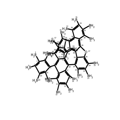 Bc1c(B)c(B)c(-c2c3c(B)c(B)c(B)c(B)c3c(-c3c(B)c(B)c(B)c4oc5c6c(B)c(B)c(B)c(B)c6c6c(B)c(B)c(B)c(B)c6c5c34)c3c(B)c(B)c(B)c(B)c23)c(B)c1B